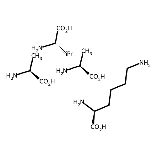 CC(C)[C@H](N)C(=O)O.C[C@H](N)C(=O)O.C[C@H](N)C(=O)O.NCCCC[C@H](N)C(=O)O